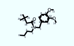 CCCCN(Cc1ccc(OC)c(OC)c1)C(=O)CC(C)(C)C